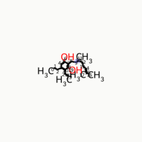 CCCc1cc(O)c(C/C=C(\C)CCC=C(C)C)c(O)c1CCC